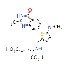 Cc1nc2ccc(CN(C)c3ccc(CNC(CCC(=O)O)C(=O)O)s3)cc2c(=O)[nH]1